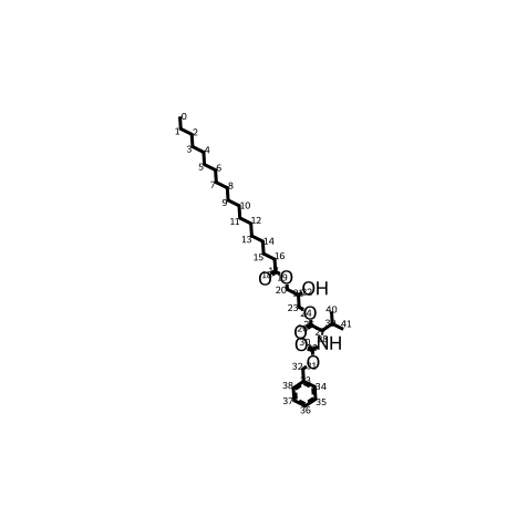 CCCCCCCCCCCCCCCCCC(=O)OCC(O)COC(=O)[C@@H](NC(=O)OCc1ccccc1)C(C)C